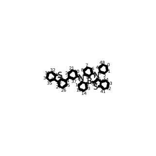 c1ccc(N2c3cccc4c3B(c3ccccc3N4c3cccc(-c4cccc5c4sc4ccccc45)c3)c3sc4ccccc4c32)cc1